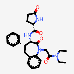 CCN(CC)C(=O)CN1C(=O)[C@@H](NC(=O)[C@@H]2CCC(=O)N2)[C@@H](c2ccccc2)Cc2ccccc21